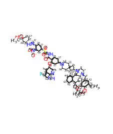 COc1cc(CN2CCN(C3CC4(CCN(c5ccc(C(=O)NS(=O)(=O)c6ccc(NC[C@H]7CC[C@](C)(O)CC7)c([N+](=O)[O-])c6)c(Oc6cnc7[nH]cc(F)c7c6)c5)CC4)C3)[C@H](c3ccccc3C(C)C)C2)cc(C)c1OC